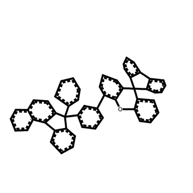 c1ccc(C2(c3cccc(-c4cccc5c4Oc4ccccc4C54c5ccccc5-c5ccccc54)c3)c3ccccc3-c3c2ccc2ccccc32)cc1